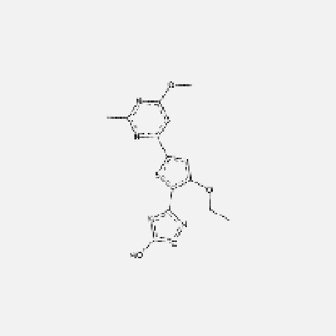 CCOc1cc(-c2cc(OC)nc(C)n2)sc1-c1noc(O)n1